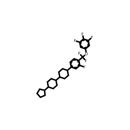 Fc1cc(C2CCC(C3CCC(C4CCCC4)CC3)CC2)ccc1C(F)(F)Oc1cc(F)c(F)c(F)c1